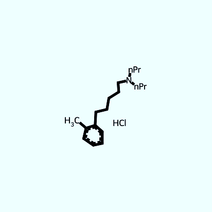 CCCN(CCC)CCCCCc1ccccc1C.Cl